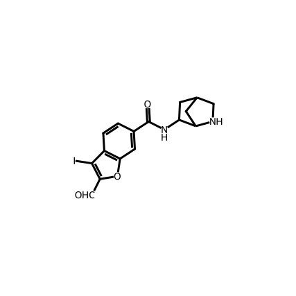 O=Cc1oc2cc(C(=O)NC3CC4CNC3C4)ccc2c1I